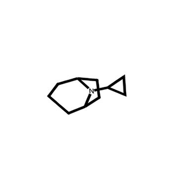 C1CC2CCC(C1)N2C1CC1